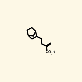 C=C(CCC1CC2CCC1C2)C(=O)O